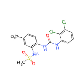 CS(=O)(=O)Nc1cc([N+](=O)[O-])ccc1NC(=O)Nc1cccc(Cl)c1Cl